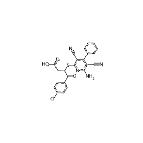 N#Cc1c(N)nc(SC(CC(=O)O)C(=O)c2ccc(Cl)cc2)c(C#N)c1-c1ccccc1